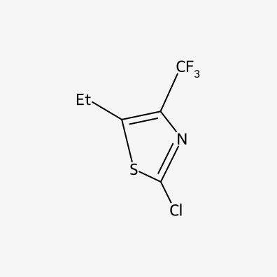 [CH2]Cc1sc(Cl)nc1C(F)(F)F